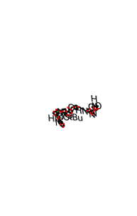 Cc1c(Oc2ccc(CCCNc3ccc4c(C5CCC(=O)NC5=O)nn(C)c4c3)cc2)cccc1-c1ccc(N2CCc3cccc(C(=O)Nc4nc5ccccc5s4)c3C2)nc1C(=O)OC(C)(C)C